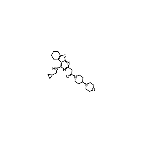 O=C(Cc1nc(NCC2CC2)c2c3c(sc2n1)CCCC3)N1CCC(N2CCOCC2)CC1